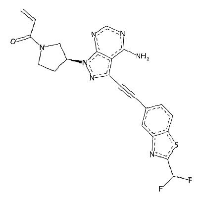 C=CC(=O)N1CC[C@H](n2nc(C#Cc3ccc4sc(C(F)F)nc4c3)c3c(N)ncnc32)C1